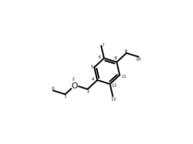 CCOCc1cc(C)c(CC)cc1C